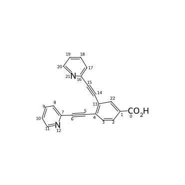 O=C(O)c1ccc(C#Cc2ccccn2)c(C#Cc2ccccn2)c1